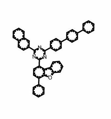 c1ccc(-c2ccc(-c3ccc(-c4nc(-c5ccc6ccccc6c5)nc(-c5ccc(-c6ccccc6)c6oc7ccccc7c56)n4)cc3)cc2)cc1